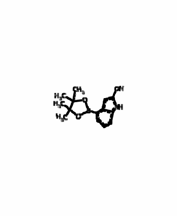 CC1(C)OB(c2cccc3[nH]c(O)cc23)OC1(C)C